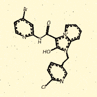 O=C(Nc1cc(Br)ccn1)c1c(O)n(Cc2ccc(Cl)nc2)c2cccc[n+]12